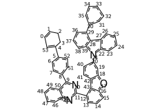 C1=CCCC(c2ccc(-c3nc(-c4cccc5oc6cc(-n7c8ccccc8c8c(-c9ccccc9)cccc87)ccc6c45)nc4ccccc34)cc2)=C1